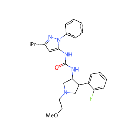 COCCN1CC(NC(=O)Nc2cc(C(C)C)nn2-c2ccccc2)C(c2ccccc2F)C1